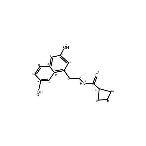 O=C(NCCc1cc(O)cc2ccc(O)cc12)C1CCC1